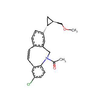 COC[C@@H]1C[C@H]1c1ccc2c(c1)CN(C(C)=O)c1ccc(Cl)cc1/C=C\2